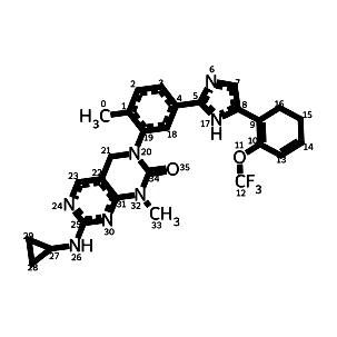 Cc1ccc(-c2ncc(C3=C(OC(F)(F)F)C=CCC3)[nH]2)cc1N1Cc2cnc(NC3CC3)nc2N(C)C1=O